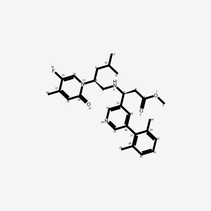 COC(=O)C[C@H](NC[C@H](CC(C)C)n1cc(F)c(C)cc1=O)c1cncc(-c2c(C)cccc2C)c1